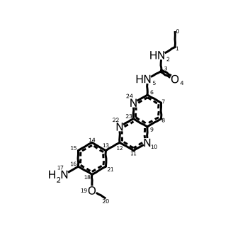 CCNC(=O)Nc1ccc2ncc(-c3ccc(N)c(OC)c3)nc2n1